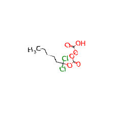 CCCCCC(Cl)(Cl)OC(=O)OOC(=O)O